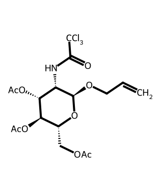 C=CCO[C@H]1O[C@H](COC(C)=O)[C@@H](OC(C)=O)[C@H](OC(C)=O)[C@@H]1NC(=O)C(Cl)(Cl)Cl